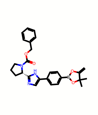 C=C1OB(c2ccc(-c3cnc([C@@H]4CCCN4C(=O)OCc4ccccc4)[nH]3)cc2)OC1(C)C